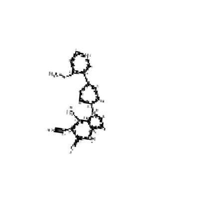 COc1ccncc1-c1ccc(-n2ccc3[nH]c(=O)c(C#N)c(O)c32)cc1